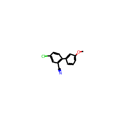 COc1cc[c]c(-c2ccc(Cl)cc2C#N)c1